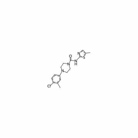 Cc1cnc(NC(=O)N2CCN(c3ccc(Cl)c(C)c3)CC2)s1